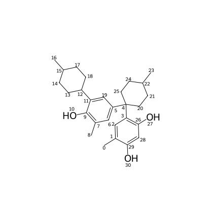 Cc1cc(C2(c3cc(C)c(O)c(C4CCC(C)CC4)c3)CCC(C)CC2)c(O)cc1O